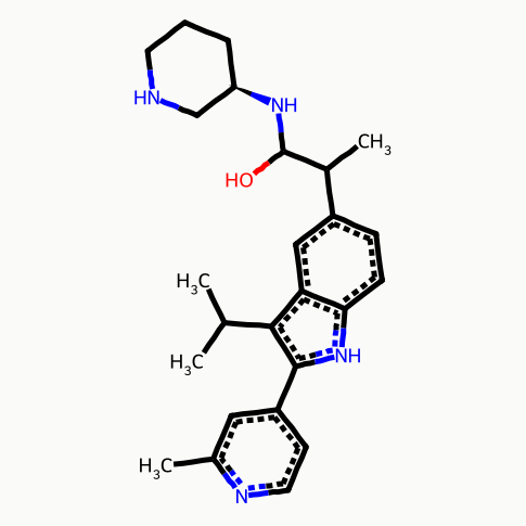 Cc1cc(-c2[nH]c3ccc(C(C)C(O)N[C@@H]4CCCNC4)cc3c2C(C)C)ccn1